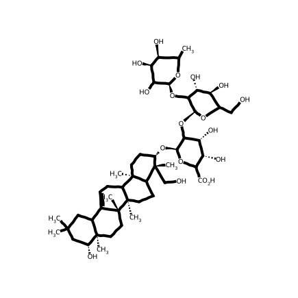 CC1O[C@@H](OC2[C@H](OC3[C@H](O[C@H]4CC[C@@]5(C)C(CC[C@]6(C)C5CC=C5C7CC(C)(C)C[C@@H](O)[C@]7(C)CC[C@]56C)[C@@]4(C)CO)OC(C(=O)O)[C@@H](O)[C@H]3O)OC(CO)[C@H](O)[C@H]2O)C(O)[C@@H](O)[C@H]1O